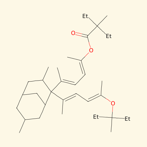 CCC(C)(CC)O/C(C)=C/C=C(\C)C1(/C(C)=C/C=C(\C)OC(=O)C(C)(CC)CC)C(C)CC2CC(C)CC1C2